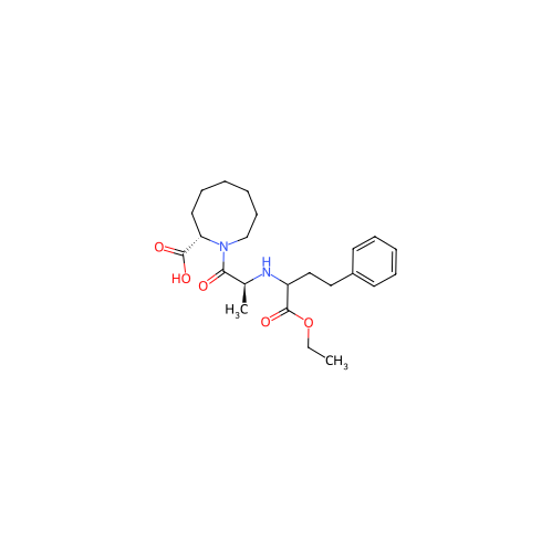 CCOC(=O)C(CCc1ccccc1)N[C@@H](C)C(=O)N1CCCCCC[C@H]1C(=O)O